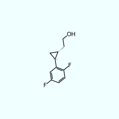 OCC[C@H]1C[C]1c1cc(F)ccc1F